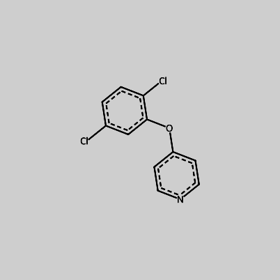 Clc1ccc(Cl)c(Oc2ccncc2)c1